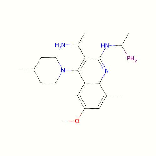 COC1=CC2C(N3CCC(C)CC3)=C(C(C)N)C(NC(C)P)=NC2C(C)=C1